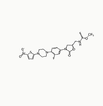 COC(=S)NCC1CN(c2ccc(N3CCN(c4ccc([N+](=O)[O-])s4)CC3)c(F)c2)C(=O)O1